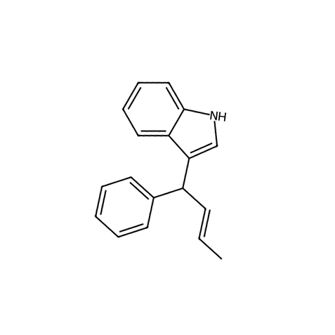 CC=CC(c1ccccc1)c1c[nH]c2ccccc12